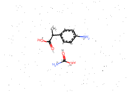 CC(C(=O)O)c1ccc(N)cc1.NC(=O)O